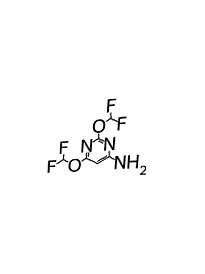 Nc1cc(OC(F)F)nc(OC(F)F)n1